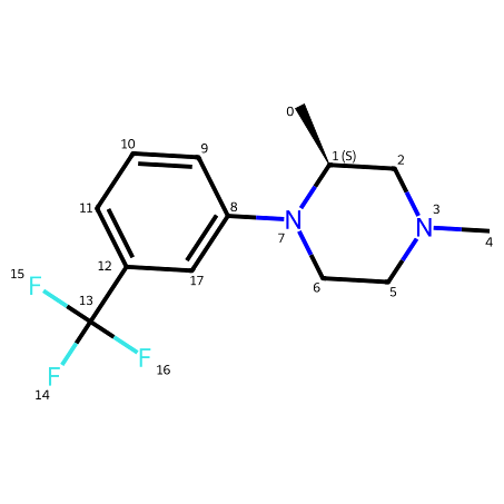 C[C@H]1CN(C)CCN1c1cccc(C(F)(F)F)c1